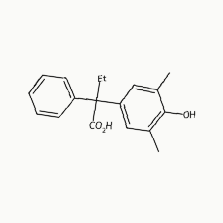 CCC(C(=O)O)(c1ccccc1)c1cc(C)c(O)c(C)c1